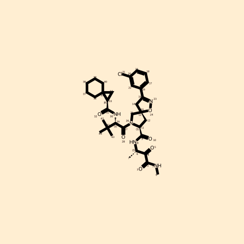 CNC(=O)C(=O)[C@H](C)NC(=O)[C@@H]1C[C@]2(CC(c3cccc(Cl)c3)=NO2)CN1C(=O)[C@@H](NC(=O)[C@@H]1CC12CCCCC2)C(C)(C)C